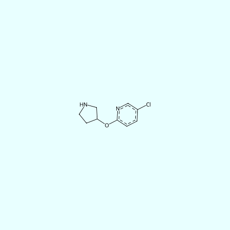 Clc1ccc(OC2CCNC2)nc1